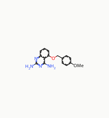 COc1ccc(COc2cccc3nc(N)nc(N)c23)cc1